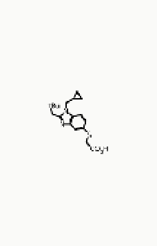 CC(C)(C)Cc1nc2cc(SCC(=O)O)ccc2n1CC1CC1